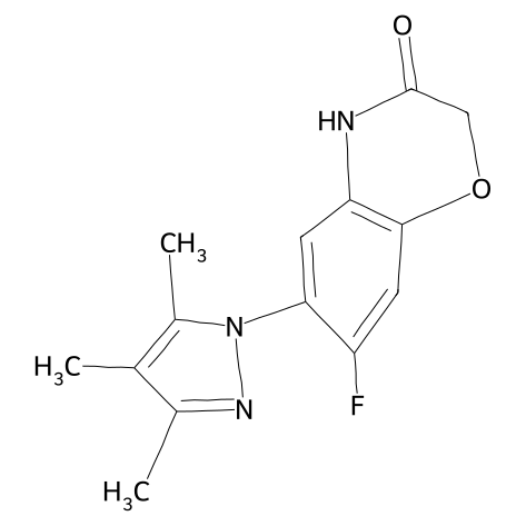 Cc1nn(-c2cc3c(cc2F)OCC(=O)N3)c(C)c1C